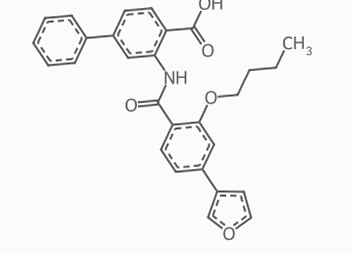 CCCCOc1cc(-c2ccoc2)ccc1C(=O)Nc1cc(-c2ccccc2)ccc1C(=O)O